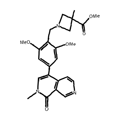 COC(=O)C1(C)CN(Cc2c(OC)cc(-c3cn(C)c(=O)c4cnccc34)cc2OC)C1